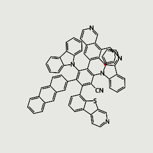 N#Cc1c(-c2cccc3c2sc2cnccc23)c(-c2ccc3cc4ccccc4cc3c2)c(-n2c3ccccc3c3ccccc32)c(-c2cc3ccncc3c3cnccc23)c1-n1c2ccccc2c2ncccc21